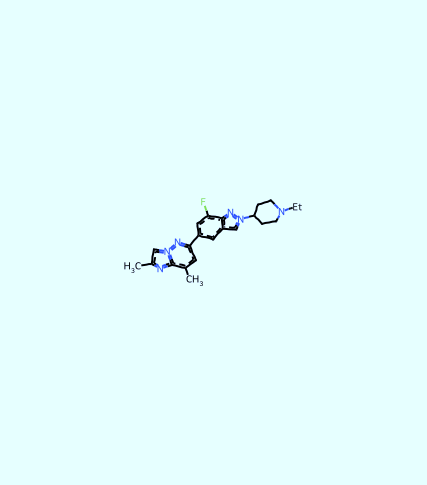 CCN1CCC(n2cc3cc(-c4cc(C)c5nc(C)cn5n4)cc(F)c3n2)CC1